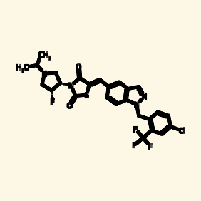 CC(C)N1C[C@@H](F)[C@@H](N2C(=O)S/C(=C\c3ccc4c(cnn4Cc4ccc(Cl)cc4C(F)(F)F)c3)C2=O)C1